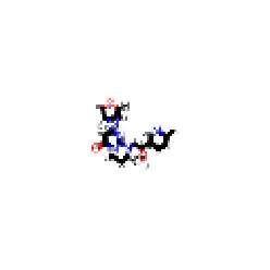 Cc1ccc(C(=O)CN2c3nc(N4C[C@@H]5C[C@]4(C)CO5)cc(=O)n3CC[C@H]2C(F)(F)F)cn1